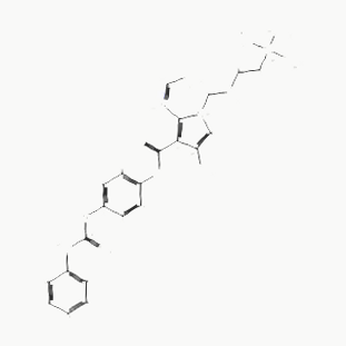 C=C(Oc1ccc(NC(=O)Oc2ccccc2)cc1)c1c(C(F)(F)F)cn(COCC[Si](C)(C)C)c1/N=C\C